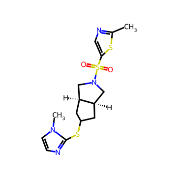 Cc1ncc(S(=O)(=O)N2C[C@H]3CC(Sc4nccn4C)C[C@H]3C2)s1